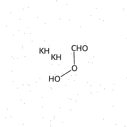 O=COO.[KH].[KH]